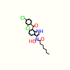 CCCCCCC(=O)N(O)c1c[nH]c2c(C(=O)c3ccc(Cl)cc3Cl)cccc12